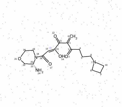 C=C(C(=O)CCCN1CCC1)C(=O)/C(O)=C/C(=O)N1CCOC[C@H]1N